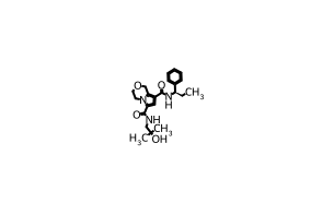 CC[C@@H](NC(=O)c1cc(C(=O)NCC(C)(C)O)n2c1COCC2)c1ccccc1